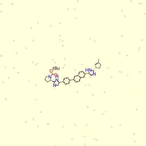 CC1=C[C@@H](c2ncc(-c3ccc4cc(-c5ccc(-c6cnc([C@H]7CCCN7C(=O)OC(C)(C)C)[nH]6)cc5)ccc4c3)[nH]2)CC1